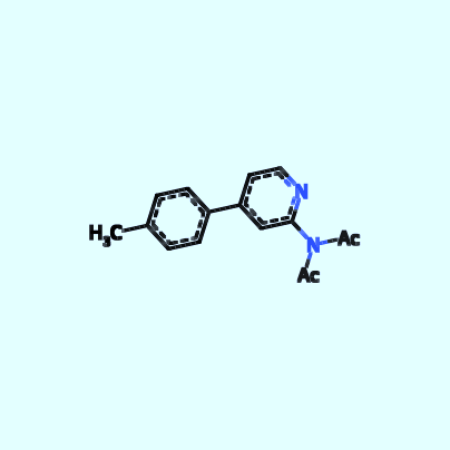 CC(=O)N(C(C)=O)c1cc(-c2ccc(C)cc2)ccn1